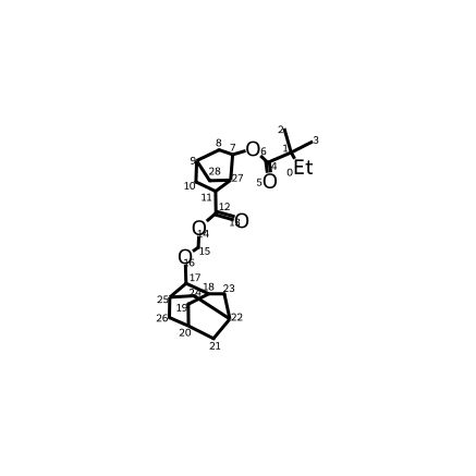 CCC(C)(C)C(=O)OC1CC2CC(C(=O)OCOC3C4CC5CC(C4)CC3C5)C1C2